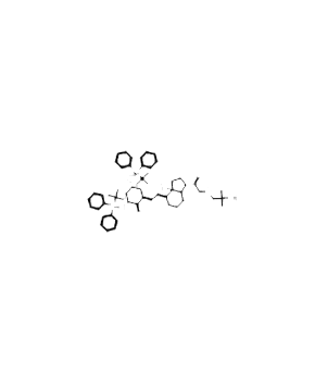 C=C1/C(=C/C=C2\CCC[C@]3(C)[C@@H](C(=C)COCC(C)(C)O)CC[C@@H]23)C[C@@H](O[Si](c2ccccc2)(c2ccccc2)C(C)(C)C)C[C@@H]1O[Si](c1ccccc1)(c1ccccc1)C(C)(C)C